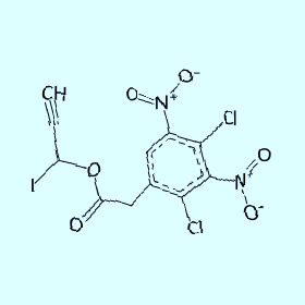 C#CC(I)OC(=O)Cc1cc([N+](=O)[O-])c(Cl)c([N+](=O)[O-])c1Cl